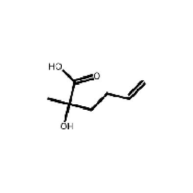 C=CCCC(C)(O)C(=O)O